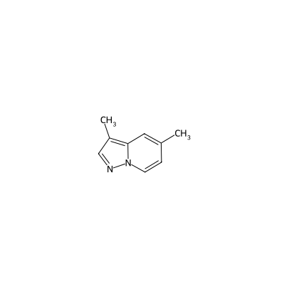 Cc1ccn2ncc(C)c2c1